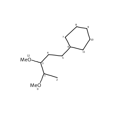 COC(C)C(CCC1CCCCC1)OC